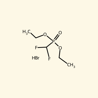 Br.CCOP(=O)(OCC)C(F)F